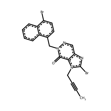 CC#CCn1c(Br)nc2cnn(Cc3ccc(Br)c4ccccc34)c(=O)c21